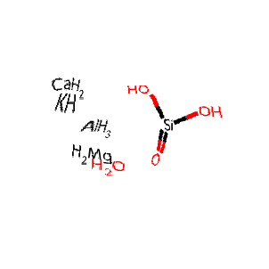 O.O=[Si](O)O.[AlH3].[CaH2].[KH].[MgH2]